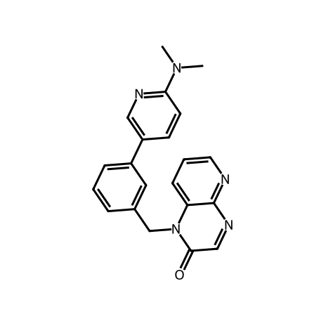 CN(C)c1ccc(-c2cccc(Cn3c(=O)cnc4ncccc43)c2)cn1